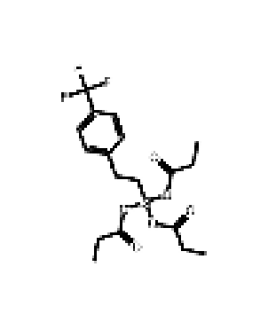 CCC(=O)O[Si](CCc1ccc(C(F)(F)F)cc1)(OC(=O)CC)OC(=O)CC